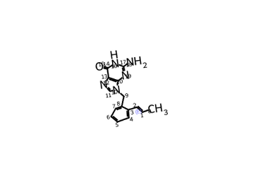 C/C=C/c1ccccc1Cn1cnc2c(=O)[nH]c(N)nc21